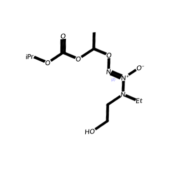 CCN(CCO)/[N+]([O-])=N/OC(C)OC(=O)OC(C)C